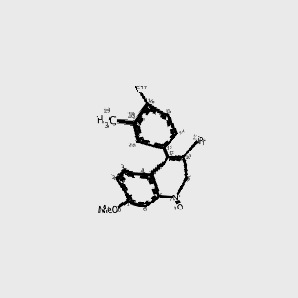 COc1ccc2c(c1)[N+](=O)CC(C(C)C)=C2c1ccc(F)c(C)c1